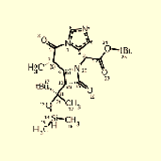 C[C@H](C(=O)n1ccnc1)[C@H]1[C@@H]([C@@](C)(O[SiH](C)C)C(C)(C)C)C(=O)N1CC(=O)OC(C)(C)C